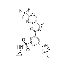 Cc1cnc(-c2cc(C(=O)N[C@H](C)c3cnc(C(F)(F)F)nc3)cc(S(=O)(=O)NC3CC3)c2)s1